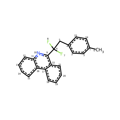 Cc1ccc(CC(F)(F)c2nc3ccccc3c3ccccc23)cc1